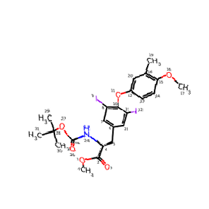 COC(=O)[C@H](Cc1cc(I)c(Oc2ccc(OC)c(C)c2)c(I)c1)NC(=O)OC(C)(C)C